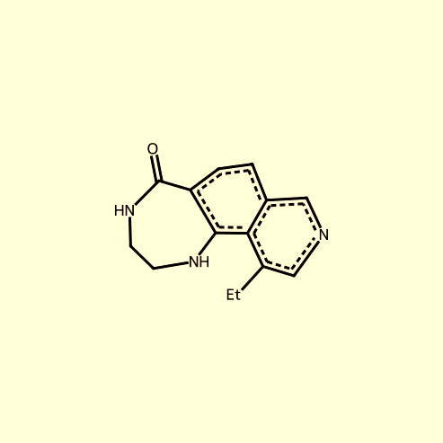 CCc1cncc2ccc3c(c12)NCCNC3=O